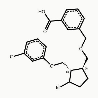 O=C(O)c1cccc(COC[C@H]2CCC(Br)[C@@H]2COc2cccc(Cl)c2)c1